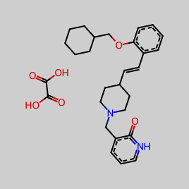 O=C(O)C(=O)O.O=c1[nH]cccc1CN1CCC(C=Cc2ccccc2OCC2CCCCC2)CC1